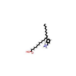 CCCCCCCC/C=C\CCCCCCCCCCCC(=O)O.C[N+](C)(C)Cc1ccccc1